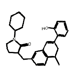 CC1CC(c2ccccc2O)=Cc2cc(CC3CCN(C4CCCCC4)C3=O)ccc21